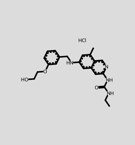 CCNC(=O)Nc1cc2cc(NCc3cccc(OCCO)c3)cc(C)c2cn1.Cl